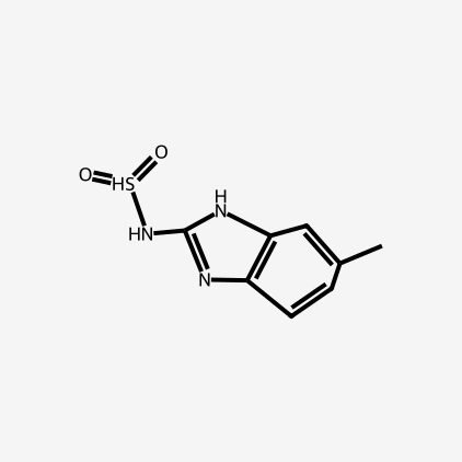 Cc1ccc2nc(N[SH](=O)=O)[nH]c2c1